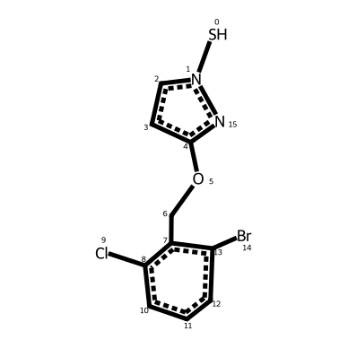 Sn1ccc(OCc2c(Cl)cccc2Br)n1